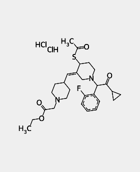 CCOC(=O)CN1CCC(/C=C2\CN(C(C(=O)C3CC3)c3ccccc3F)CCC2SC(C)=O)CC1.Cl.Cl